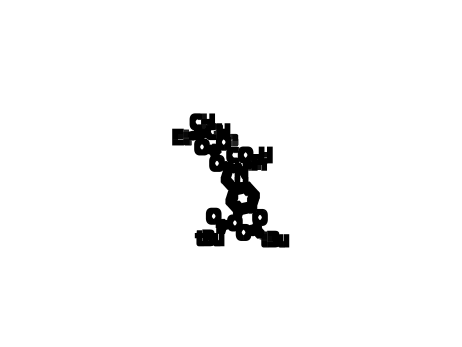 CCC(C)(C)OC(=O)O[C@](Cc1ccc(OC(=O)C(C)(C)C)c(OC(=O)C(C)(C)C)c1)(NC(C)C)C(=O)O